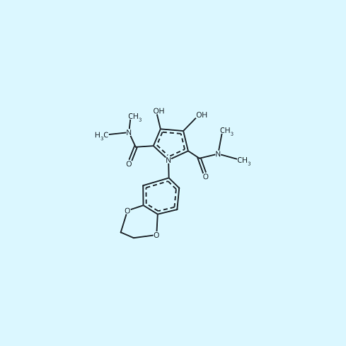 CN(C)C(=O)c1c(O)c(O)c(C(=O)N(C)C)n1-c1ccc2c(c1)OCCO2